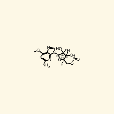 COc1nc(N)nc2c1ncn2[C@@H]1O[C@@H]2CO[PH](=O)O[C@H]2[C@@]1(C)O